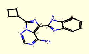 Nc1ncnn2c(C3CCC3)nc(-c3nc4ccccc4[nH]3)c12